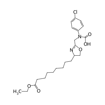 CCOC(=O)CCCCCCCCC1COC(CN(C(=O)O)c2ccc(Cl)cc2)=N1